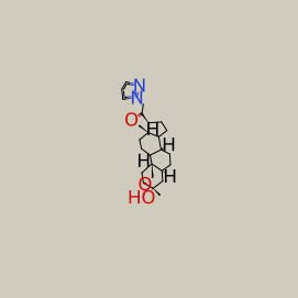 COC[C@]12CC[C@@](C)(O)C[C@@H]1CC[C@H]1[C@@H]3CC[C@H](C(=O)Cn4cccn4)[C@@]3(C)CC[C@@H]12